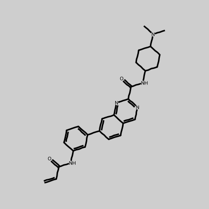 C=CC(=O)Nc1cccc(-c2ccc3cnc(C(=O)NC4CCC(N(C)C)CC4)nc3c2)c1